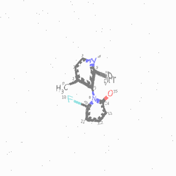 Cc1ccnc(C(C)C)c1-n1c(F)cccc1=O